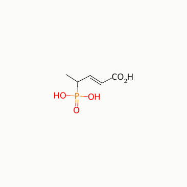 CC(C=CC(=O)O)P(=O)(O)O